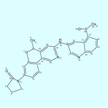 CC1Oc2cc(N3CCCC3=O)ccc2-c2cnc(Nc3cnc4cccc([S+](C)[O-])c4c3)cc21